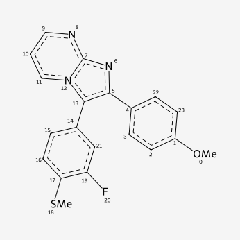 COc1ccc(-c2nc3ncccn3c2-c2ccc(SC)c(F)c2)cc1